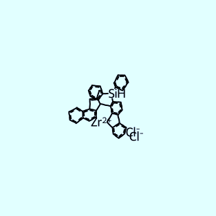 CC1=Cc2c(ccc3ccccc23)C1c1c([SiH](c2ccccc2)c2ccccc2)ccc2c1[CH]([Zr+2])c1ccccc1-2.[Cl-].[Cl-]